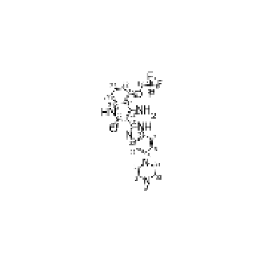 CN1CCN(c2ccc3[nH]c(-c4c(N)c5c(OCC(F)(F)F)cccc5[nH]c4=O)nc3c2)CC1